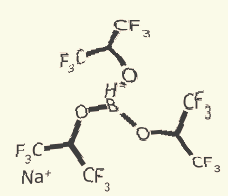 FC(F)(F)C(O[BH-](OC(C(F)(F)F)C(F)(F)F)OC(C(F)(F)F)C(F)(F)F)C(F)(F)F.[Na+]